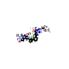 COc1nc(-c2cccc(-c3cccc(-c4cc5c(=O)n(C)c(CNC[C@H](C)OC)nn5c4)c3Cl)c2Cl)ccc1CN(C)[C@H]1CCC(=O)N1